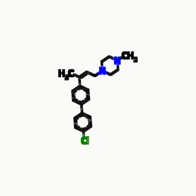 CC(=CCN1CCN(C)CC1)c1ccc(-c2ccc(Cl)cc2)cc1